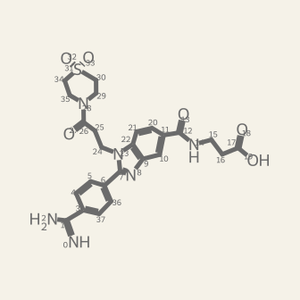 N=C(N)c1ccc(-c2nc3cc(C(=O)NCCC(=O)O)ccc3n2CCC(=O)N2CCS(=O)(=O)CC2)cc1